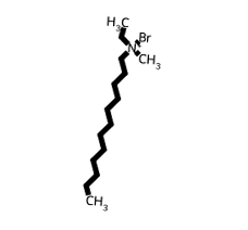 CCCCCCCCCCCC[N+](C)(Br)CC